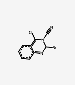 N#CN1C(Cl)=c2ccccc2=NC1Br